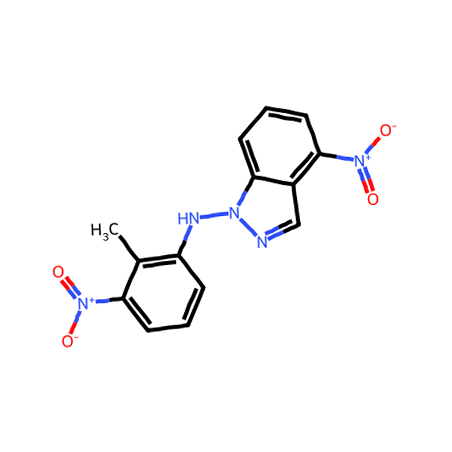 Cc1c(Nn2ncc3c([N+](=O)[O-])cccc32)cccc1[N+](=O)[O-]